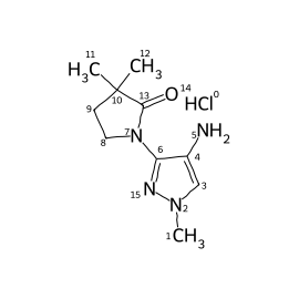 Cl.Cn1cc(N)c(N2CCC(C)(C)C2=O)n1